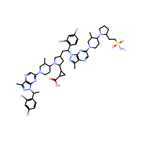 Cc1nn(C(C)c2ccc(Cl)cc2Cl)c2nc(N3CCC(N4CC(CC(c5ccc(Cl)cc5Cl)n5nc(C)c6ncc(N7CCC(N8CCCC8CCS(N)(=O)=O)C(C)C7)nc65)CC4C4CC4C(=O)O)C(C)C3)cnc12